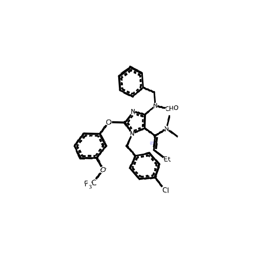 CC/C=C(/c1c(N(C=O)Cc2ccccc2)nc(Oc2cccc(OC(F)(F)F)c2)n1Cc1ccc(Cl)cc1)N(C)C